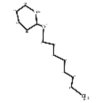 CCCCCCCCOC1CCCCO1